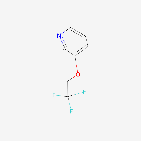 FC(F)(F)COc1[c]nccc1